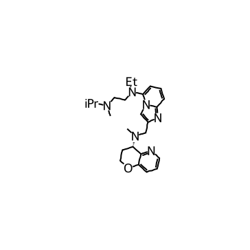 CCN(CCN(C)C(C)C)c1cccc2nc(CN(C)[C@H]3CCOc4cccnc43)cn12